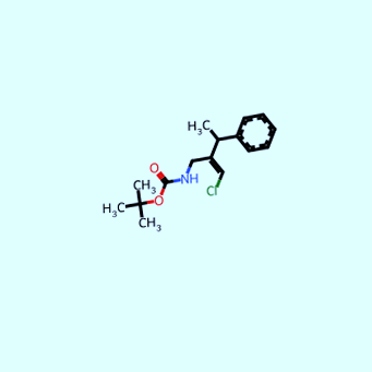 CC(C(=CCl)CNC(=O)OC(C)(C)C)c1ccccc1